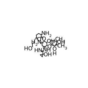 C[C@@H]1C(O)[C@@H](OC2C(O)C(O[C@H]3O[C@H](CCCCO)CCC3N)[C@@H](N)C[C@H]2NC(=N)C2(O)CC2)OCC1(C)O